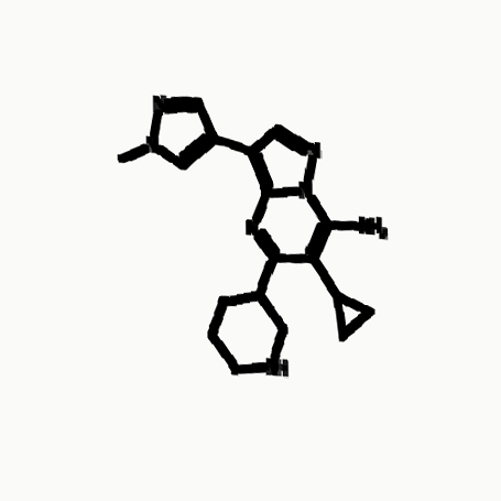 Cn1cc(-c2cnn3c(N)c(C4CC4)c(C4CCCNC4)nc23)cn1